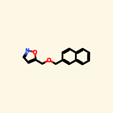 c1ccc2cc(COCc3ccno3)ccc2c1